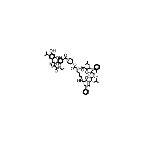 CCNC(=O)c1nnc(-c2cc(C(C)C)c(O)cc2O)n1-c1ccc(C(=O)N2CCC(OC(=O)NCC/C=C/N[C@@H](CCc3ccccc3)C(=O)N[C@@H](CC(C)C)C(=O)N[C@@H](Cc3ccccc3)C(=O)N[C@@H](CC(C)C)C(=O)[C@@]3(C)CO3)CC2)cc1